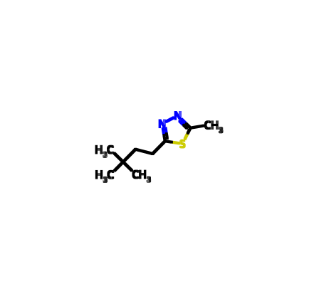 Cc1nnc(CCC(C)(C)C)s1